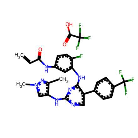 C=CC(=O)Nc1ccc(F)c(Nc2nc(Nc3cn(C)nc3C)ncc2-c2ccc(C(F)(F)F)cc2)c1.O=C(O)C(F)(F)F